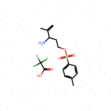 C=C(C)C(N)CCOS(=O)(=O)c1ccc(C)cc1.O=C(O)C(F)(F)F